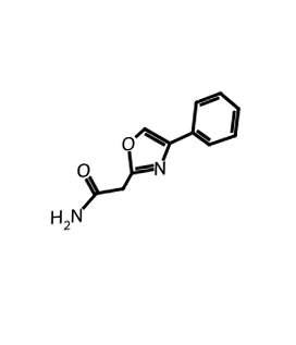 NC(=O)Cc1nc(-c2ccccc2)co1